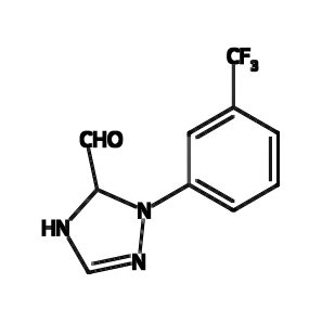 O=CC1NC=NN1c1cccc(C(F)(F)F)c1